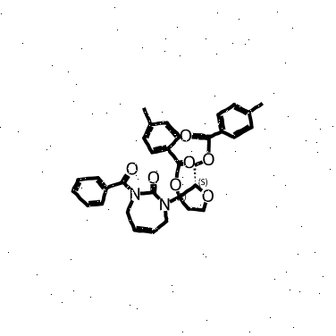 Cc1ccc(C(=O)OC[C@@H]2OCC[C@]2(OC(=O)c2ccc(C)cc2)N2CC=CCN(C(=O)c3ccccc3)C2=O)cc1